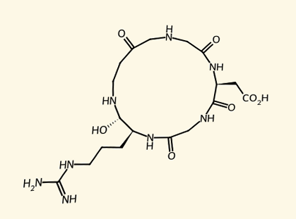 N=C(N)NCCC[C@@H]1NC(=O)CNC(=O)[C@H](CC(=O)O)NC(=O)CNCC(=O)CCN[C@H]1O